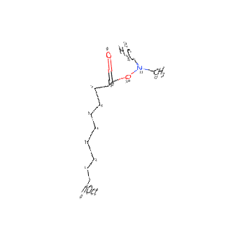 CCCCCCCCCCCCCCCC(=O)ON(C)C